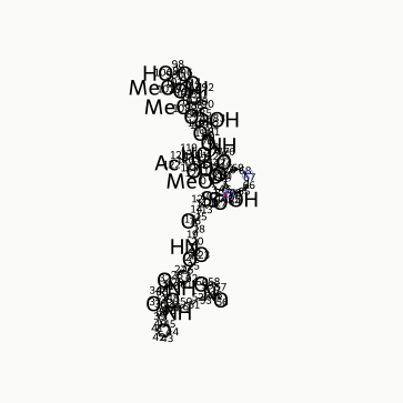 COC(=O)CC1=C2/C(=C\CSSC(C)(C)CCC(=O)CCCNC(=O)OCc3ccc(NC(=O)[C@H](C)CC(=O)[C@H](Cc4ccccc4)NC(=O)CCCCCN4C(=O)C=CC4=O)cc3)[C@](O)(C#C/C=C\C#C[C@@H]2OC2OC(C)C(NOC3CC(O)C(SC(=O)c4c(C)c(I)c(OC5OC(C)C(O)C(OC)C5O)c(C)c4OC)C(C)O3)C(O)C2OC2CC(C)C(CC(C)=O)CO2)CC1=O